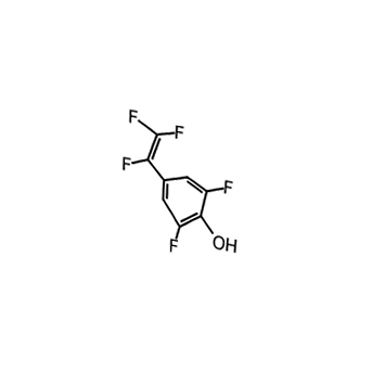 Oc1c(F)cc(C(F)=C(F)F)cc1F